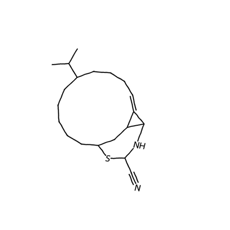 CC(C)C1CCC/C=C2\C3CC(CCCCC1)SC(C#N)NC23